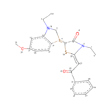 CCN1C(=O)C(=S2CN(CC)c3cc(OC)ccc32)SC1=CC(=O)c1ccccc1